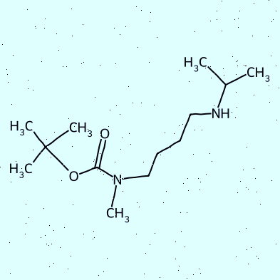 CC(C)NCCCCN(C)C(=O)OC(C)(C)C